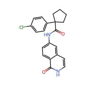 O=C(Nc1ccc2c(=O)[nH]ccc2c1)C1(c2ccc(Cl)cc2)CCCC1